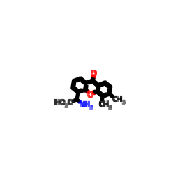 Cc1ccc2c(=O)c3cccc(C(N)C(=O)O)c3oc2c1C